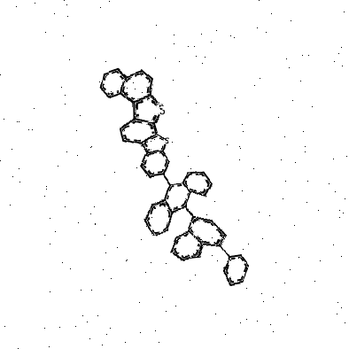 c1ccc(-c2ccc(-c3c4ccccc4c(-c4ccc5c(c4)sc4c5ccc5c4sc4ccc6ccccc6c45)c4ccccc34)c3ccccc23)cc1